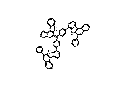 c1ccc(-c2cc3ccccc3c3c2sc2c(-c4ccc(N(c5ccc(-c6cccc7c6sc6c(-c8ccccc8)cc8ccccc8c67)cc5)c5cc6ccccc6c6c5oc5ccccc56)cc4)cccc23)cc1